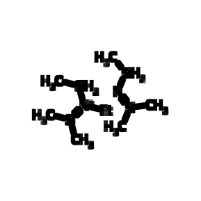 CC[N+]([SiH2]C)=[Si](C)C.C[SiH2]N=[Si](C)C